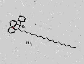 CCCCCCCCCCCCCCCCCCCCC(c1ccccc1)C(Br)(c1ccccc1)c1ccccc1.P